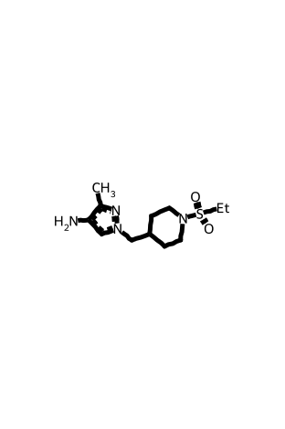 CCS(=O)(=O)N1CCC(Cn2cc(N)c(C)n2)CC1